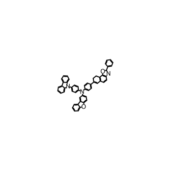 C1=C(c2ccc(N(c3ccc(-n4c5ccccc5c5ccccc54)cc3)c3ccc4oc5ccccc5c4c3)cc2)CCc2c1ccc1nc(-c3ccccc3)oc21